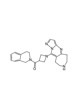 O=C(C1CN(c2c3c(nc4ccnn24)CCNCC3)C1)N1CCc2ccccc2C1